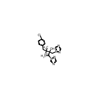 CC(n1cncn1)C(O)(Cn1cncn1)C(C)(C)Cc1ccc(Cl)cc1